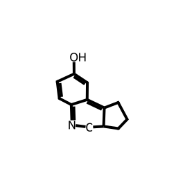 Oc1ccc2c(c1)=C1CCCC1CN=2